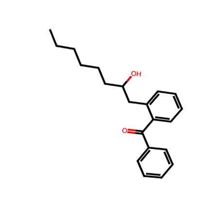 CCCCCCC(O)Cc1ccccc1C(=O)c1ccccc1